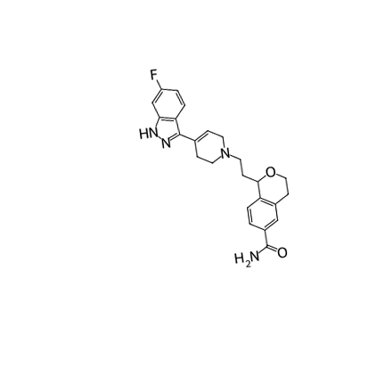 NC(=O)c1ccc2c(c1)CCOC2CCN1CC=C(c2n[nH]c3cc(F)ccc23)CC1